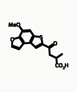 COc1cc2sc(C(=O)CC(C)C(=O)O)cc2c2ccoc12